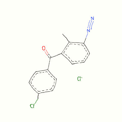 Cc1c([N+]#N)cccc1C(=O)c1ccc(Cl)cc1.[Cl-]